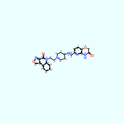 O=C1COc2ccc(CNC3CCN(CCn4c(=O)c5nocc5c5ccccc54)CC3)nc2N1